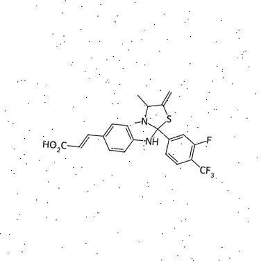 C=C1SC(Nc2ccc(/C=C/C(=O)O)cc2)(c2ccc(C(F)(F)F)c(F)c2)N(C)C1C